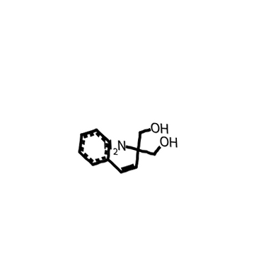 NC(/C=C\c1ccccc1)(CO)CO